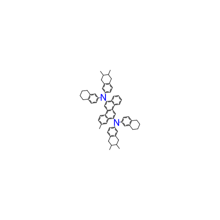 Cc1ccc2c(c1)c(N(c1ccc3c(c1)CCCC3)c1ccc3c(c1)CC(C)C(C)C3)cc1c3ccccc3c(N(c3ccc4c(c3)CCCC4)c3ccc4c(c3)CC(C)C(C)C4)cc21